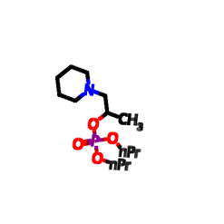 CCCOP(=O)(OCCC)OC(C)CN1CCCCC1